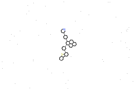 c1cncc(-c2ccc(-c3cc(-c4cccc(-c5cccc6c5sc5ccccc56)c4)c4ccc5cccc6ccc3c4c65)cc2)c1